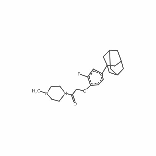 CN1CCN(C(=O)COc2ccc(C34CC5CC(CC(C5)C3)C4)cc2F)CC1